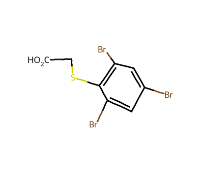 O=C(O)CSc1c(Br)cc(Br)cc1Br